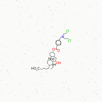 C[C@H](CCC(=O)O)[C@H]1CC[C@H]2[C@@H]3[C@@H](O)CC4C[C@@H](OC(=O)c5ccc(CN(CCCl)CCCl)cc5)CC[C@]4(C)[C@H]3CC[C@]12C